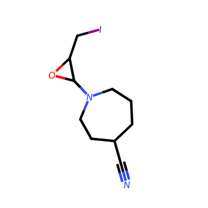 N#CC1CCCN(C2OC2CI)CC1